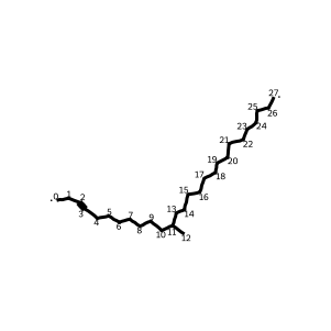 [CH2]CC#CCCCCCCCC(C)CCCCCCCCCCCCCC[CH2]